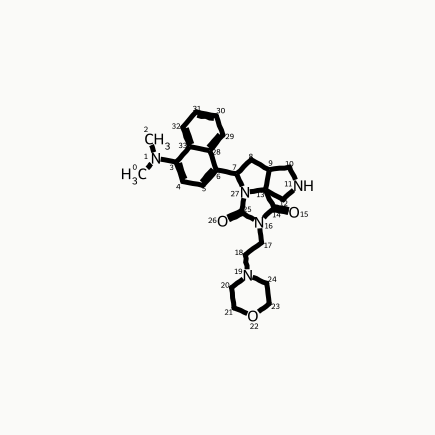 CN(C)c1ccc(C2CC3CNCC34C(=O)N(CCN3CCOCC3)C(=O)N24)c2ccccc12